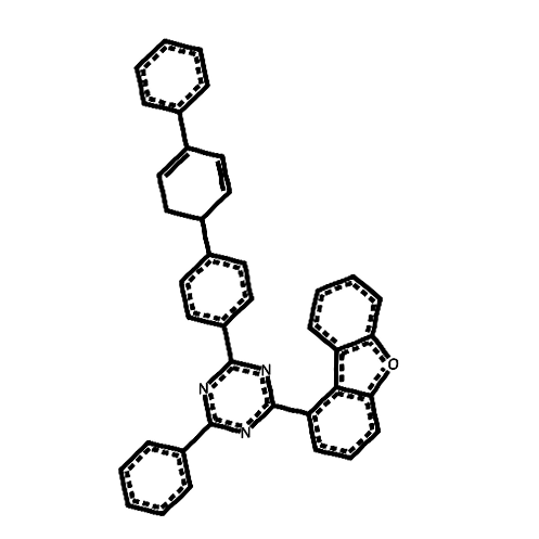 C1=CC(c2ccc(-c3nc(-c4ccccc4)nc(-c4cccc5oc6ccccc6c45)n3)cc2)CC=C1c1ccccc1